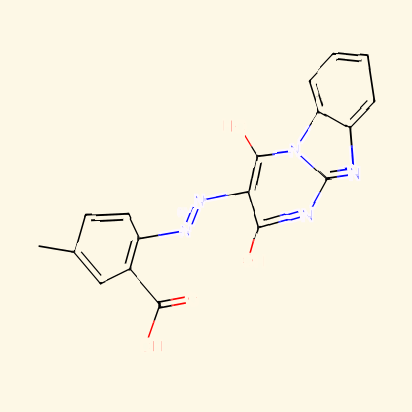 Cc1ccc(/N=N/c2c(O)nc3nc4ccccc4n3c2O)c(C(=O)O)c1